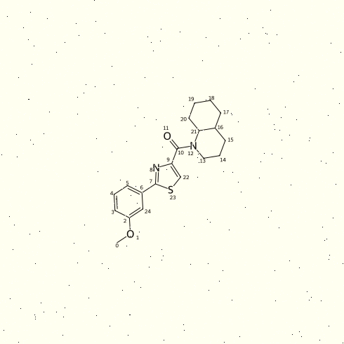 COc1cccc(-c2nc(C(=O)N3CCCC4CCCCC43)cs2)c1